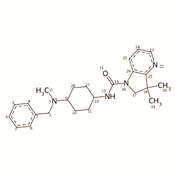 CN(Cc1ccccc1)C1CCC(NC(=O)N2CC(C)(C)c3ncccc32)CC1